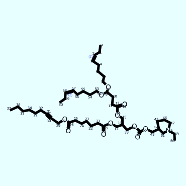 CC/C=C\CCCCOC(CCC(=O)OCC(COC(=O)CCCCCC(=O)OCC#CCCCCCC)COC(=O)OCC1CCCN(CC)C1)OCCCC/C=C\CC